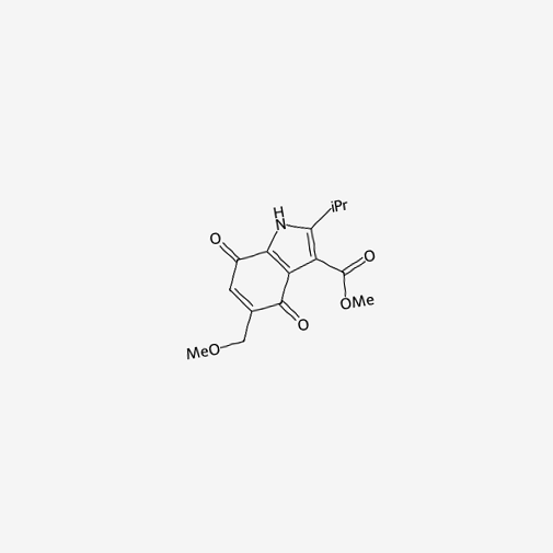 COCC1=CC(=O)c2[nH]c(C(C)C)c(C(=O)OC)c2C1=O